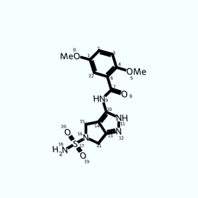 COc1ccc(OC)c(C(=O)Nc2[nH]nc3c2CN(S(N)(=O)=O)C3)c1